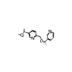 COC(C)c1ccc(CO[C@@H](C)c2cccnc2)nc1